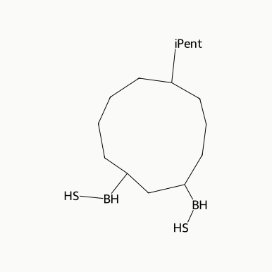 CCCC(C)C1CCCCC(BS)CC(BS)CCC1